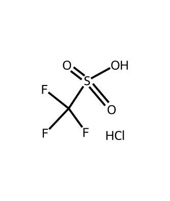 Cl.O=S(=O)(O)C(F)(F)F